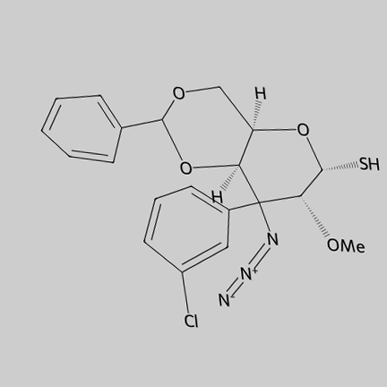 CO[C@H]1[C@@H](S)O[C@@H]2COC(c3ccccc3)O[C@@H]2C1(N=[N+]=[N-])c1cccc(Cl)c1